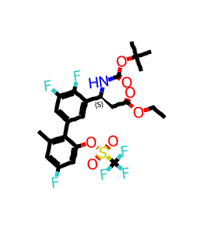 CCOC(=O)C[C@H](NC(=O)OC(C)(C)C)c1cc(-c2c(C)cc(F)cc2OS(=O)(=O)C(F)(F)F)cc(F)c1F